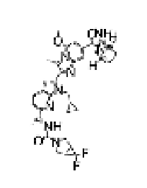 COc1cc(C(=O)N2[C@H]3CC[C@@H]2[C@H](N)C3)cc2nc(-c3cc4ccc([C@@H](C)NC(=O)N5CC6C(C5)C6(F)F)nc4n3CC3CC3)c(C)n12